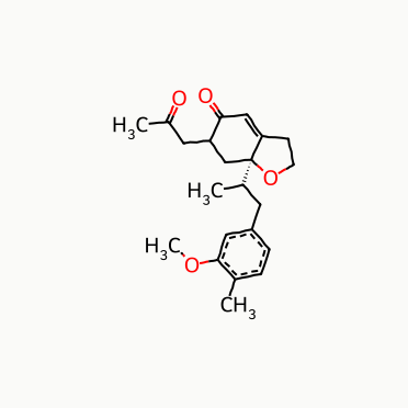 COc1cc(CC(C)[C@]23CC(CC(C)=O)C(=O)C=C2CCO3)ccc1C